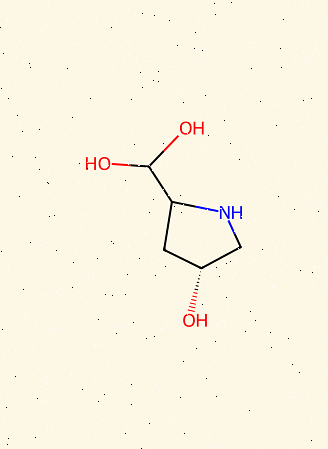 OC(O)C1C[C@@H](O)CN1